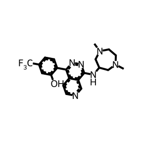 CN1CCN(C)CC(Nc2nnc(-c3ccc(C(F)(F)F)cc3O)c3ccncc23)C1